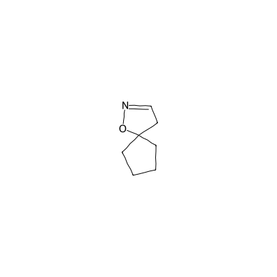 C1=NOC2(C1)CCCC2